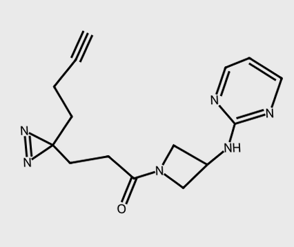 C#CCCC1(CCC(=O)N2CC(Nc3ncccn3)C2)N=N1